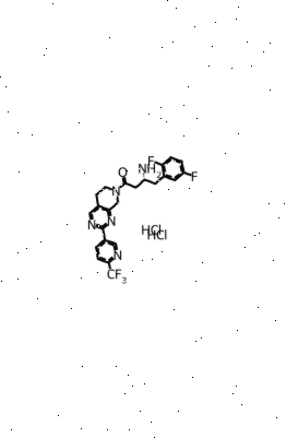 Cl.Cl.N[C@@H](CC(=O)N1CCc2cnc(-c3ccc(C(F)(F)F)nc3)nc2C1)Cc1cc(F)ccc1F